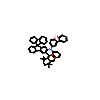 CC1(C)CCC(C)(C)c2c(-c3cc4c(cc3N(c3ccccc3)c3ccc5oc6ccccc6c5c3)C(c3ccccc3)(c3ccccc3)c3ccccc3-4)cccc21